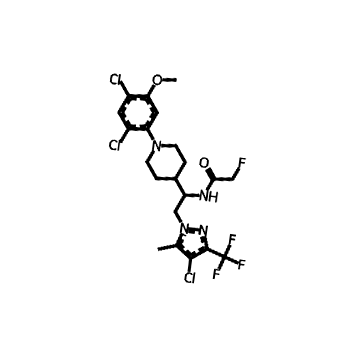 COc1cc(N2CCC(C(Cn3nc(C(F)(F)F)c(Cl)c3C)NC(=O)CF)CC2)c(Cl)cc1Cl